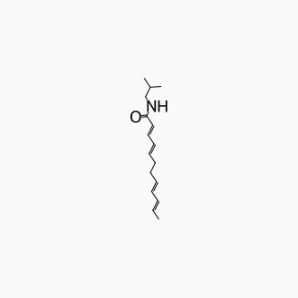 CC=CC=CCCC=CC=CC(=O)NCC(C)C